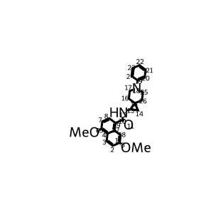 COc1ccc2c(OC)ccc(C(=O)NC3CC34CCN(c3ccccc3)CC4)c2c1